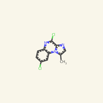 Cc1cnc2c(Cl)nc3ccc(Cl)cc3n12